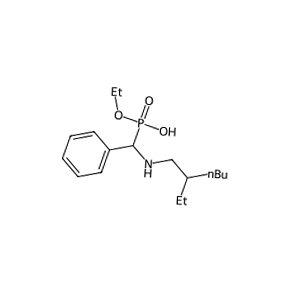 CCCCC(CC)CNC(c1ccccc1)P(=O)(O)OCC